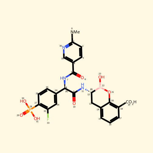 CNc1ccc(C(=O)N[C@@H](C(=O)N[C@H]2Cc3cccc(C(=O)O)c3OB2O)c2ccc(P(=O)(O)O)c(F)c2)cn1